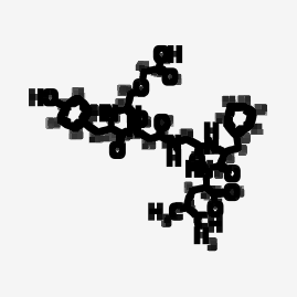 CC(C)CC(NC(=O)C(Cc1ccccc1)NC(=O)CNC(=O)CNC(=O)C(Cc1ccc(O)cc1)NC(=O)COCC(=O)O)C(=O)O